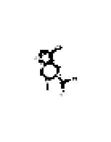 C[C@H]1Cn2ncc(O)c2CN1C(=O)O